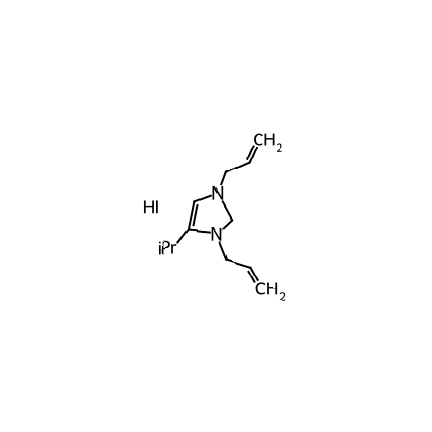 C=CCN1C=C(C(C)C)N(CC=C)C1.I